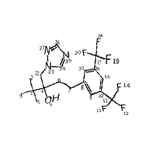 CC(C)(C)C(O)(CCc1cc(C(F)(F)F)cc(C(F)(F)F)c1)Cn1cncn1